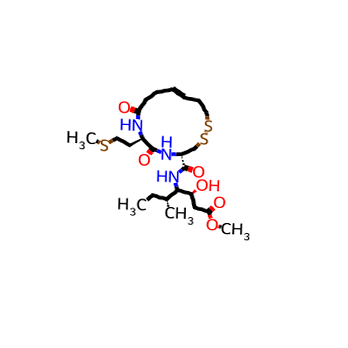 CC[C@@H](C)C(NC(=O)[C@H]1CSSCC/C=C/CCC(=O)N[C@H](CCSC)C(=O)N1)[C@@H](O)CC(=O)OC